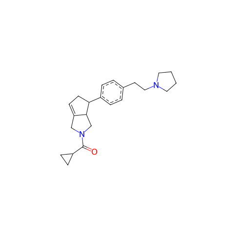 O=C(C1CC1)N1CC2=CCC(c3ccc(CCN4CCCC4)cc3)C2C1